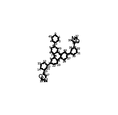 c1ccc(-c2ccc3c4cc(-c5cccc(-c6cnco6)c5)ccc4c4ccc(-c5cccc(-c6cnco6)c5)cc4c3c2)cc1